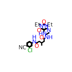 CCn1c(/N=C\C(=N)NC(=O)CC(C)CC(=O)Nc2ccc(C#N)c(Cl)c2)c(C)c(=O)n(CC)c1=O